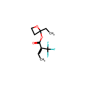 CC=C(C(=O)OC1(CC)CCO1)C(F)(F)F